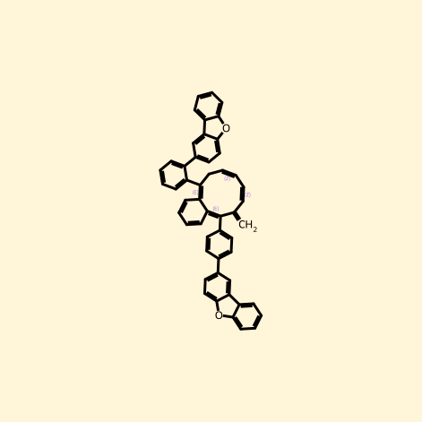 C=C1/C=C\C=C/C/C(c2ccccc2-c2ccc3oc4ccccc4c3c2)=c2/cccc/c2=C/1c1ccc(-c2ccc3oc4ccccc4c3c2)cc1